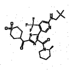 C[C@H]1CCCCN1C(=O)c1nc(C(=O)C2CCS(=O)(=O)CC2)sc1-c1cnc(NCC(C)(C)C)cc1C(F)(F)F